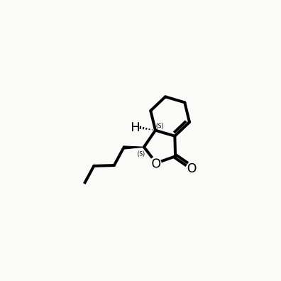 CCCC[C@@H]1OC(=O)C2=CCCC[C@@H]21